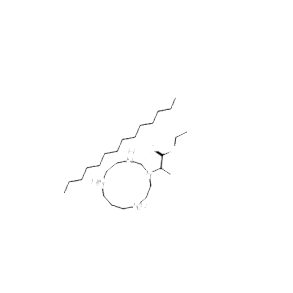 CCCCCCCCCCCCCC.CCOC(=O)C(C)N1CCNCCCNCCNC1